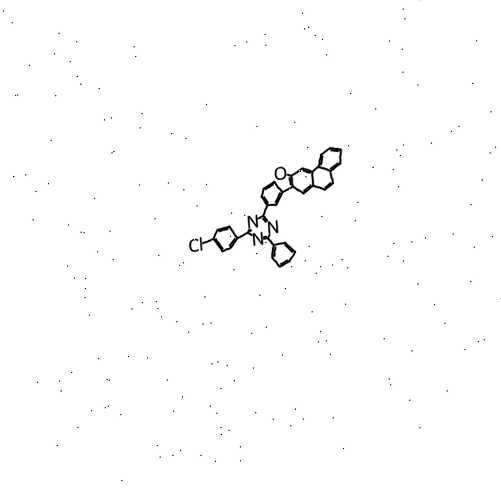 Clc1ccc(-c2nc(-c3ccccc3)nc(-c3ccc4oc5cc6c(ccc7ccccc76)cc5c4c3)n2)cc1